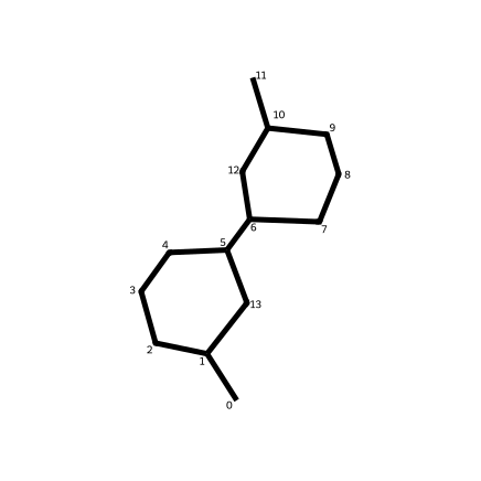 CC1CCCC(C2CCCC(C)C2)C1